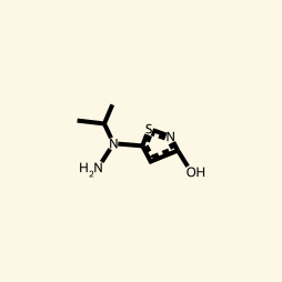 CC(C)N(N)c1cc(O)ns1